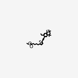 CCOC(=O)CCCCc1ccc(C#Cc2cc3c(cc2CC)SC(C)(C)CC3(C)C)s1